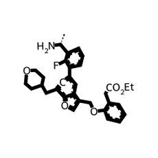 CCOC(=O)Cc1ccccc1OCc1coc2c(CC3CCOCC3)cc(-c3cccc([C@@H](C)N)c3F)cc12